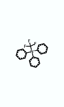 FC(F)(F)[N+](c1ccccc1)(c1ccccc1)c1ccccc1